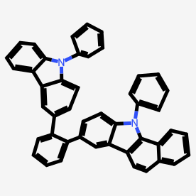 c1ccc(-n2c3ccccc3c3cc(-c4ccccc4-c4ccc5c(c4)c4ccc6ccccc6c4n5-c4ccccc4)ccc32)cc1